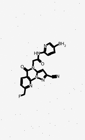 Bc1ccc(NC(=O)Cn2c(=O)c3ccc(CF)nc3n3nc(C#N)cc23)nc1